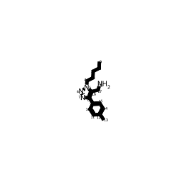 CCCCCn1nnc(-c2ccc(C)cc2)c1CN